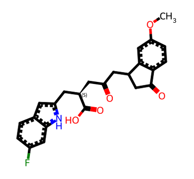 COc1ccc2c(c1)C(CC(=O)C[C@H](Cc1cc3ccc(F)cc3[nH]1)C(=O)O)CC2=O